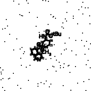 Cc1cncc2cccc(S(=O)(=O)N3CCCC(NC(=O)OC(C)(C)C)C3)c12